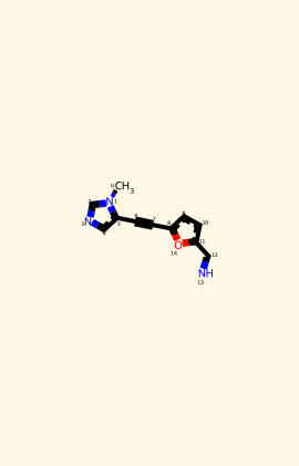 Cn1cncc1C#Cc1ccc(C=N)o1